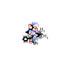 CC(C)C(=O)NC(C(=O)N1C[C@H]2[C@@H]([C@H]1C(=O)NC(CC1CC1)C(=O)C(N)=O)C2(C)C)C(C)(C)c1ccccc1